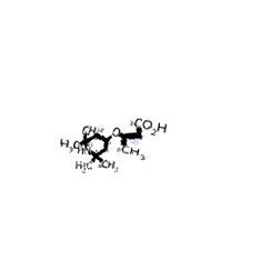 C/C(=C/C(=O)O)OC1CC(C)(C)NC(C)(C)C1